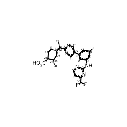 Cc1cc(Nc2nccc(C(F)F)n2)cc(-c2cnc([C@H](C)[C@@H]3CC[C@H](C(=O)O)[C@H](C)C3)nc2)c1